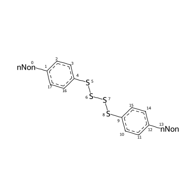 CCCCCCCCCc1ccc(SSSSc2ccc(CCCCCCCCC)cc2)cc1